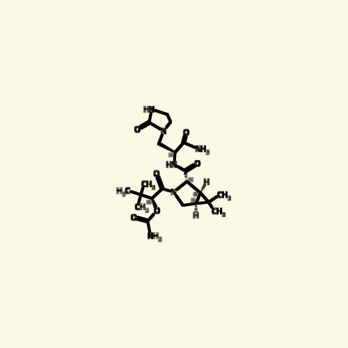 CC(C)(C)[C@H](OC(N)=O)C(=O)N1C[C@H]2[C@@H]([C@H]1C(=O)N[C@@H](CN1CCNC1=O)C(N)=O)C2(C)C